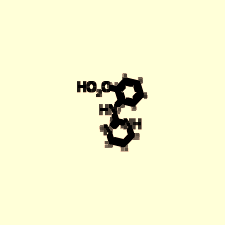 O=C(O)c1ccccc1NC1=NC=CCN1